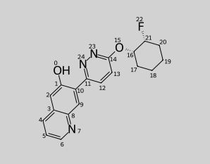 Oc1cc2cccnc2cc1-c1ccc(O[C@H]2CCCC[C@H]2F)nn1